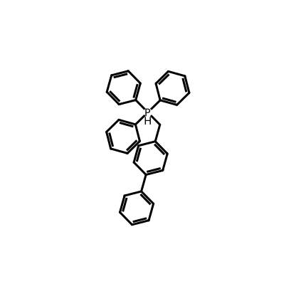 c1ccc(-c2ccc(C[PH](c3ccccc3)(c3ccccc3)c3ccccc3)cc2)cc1